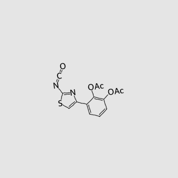 CC(=O)Oc1cccc(-c2csc(N=C=O)n2)c1OC(C)=O